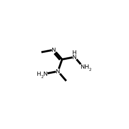 CN=C(NN)N(C)N